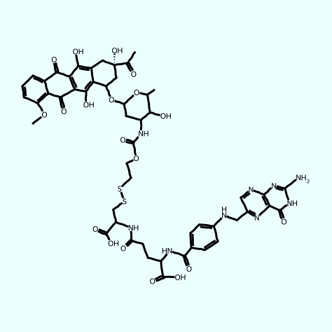 COc1cccc2c1C(=O)c1c(O)c3c(c(O)c1C2=O)C[C@@](O)(C(C)=O)CC3OC1CC(NC(=O)OCCSSCC(NC(=O)CCC(NC(=O)c2ccc(NCc3cnc4nc(N)[nH]c(=O)c4n3)cc2)C(=O)O)C(=O)O)C(O)C(C)O1